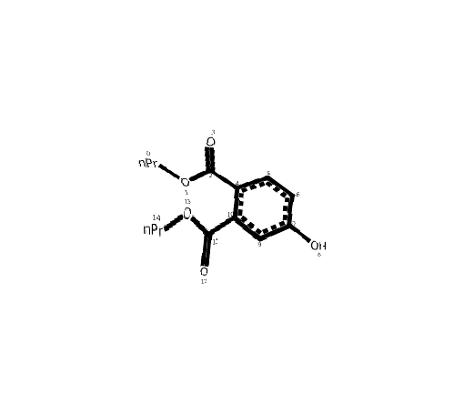 CCCOC(=O)c1ccc(O)cc1C(=O)OCCC